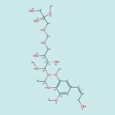 COc1cc(/C=C\CO)cc(OC)c1OC(C)OC(OC)[C@@H](O)C(O)COCOCC(O)(CO)OC